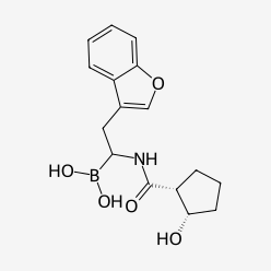 O=C(NC(Cc1coc2ccccc12)B(O)O)[C@@H]1CCC[C@@H]1O